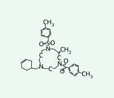 C=C1CN(S(=O)(=O)c2ccc(C)cc2)CCCN(CC2CC=CCC2)CCCN(S(=O)(=O)c2ccc(C)cc2)C1